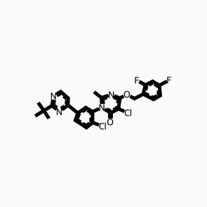 Cc1nc(OCc2ccc(F)cc2F)c(Cl)c(=O)n1-c1cc(-c2ccnc(C(C)(C)C)n2)ccc1Cl